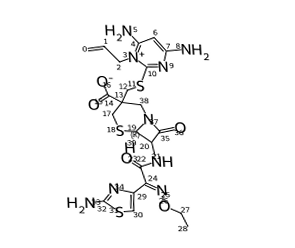 C=CC[n+]1c(N)cc(N)nc1SCC1(C(=O)[O-])CS[C@@H]2C(NC(=O)C(=NOCC)c3csc(N)n3)C(=O)N2C1